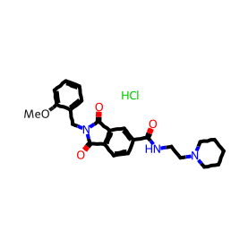 COc1ccccc1CN1C(=O)c2ccc(C(=O)NCCN3CCCCC3)cc2C1=O.Cl